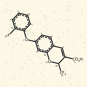 O=C(O)C1=Cc2ccc(Oc3ccccc3F)cc2OC1C(F)(F)F